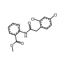 COC(=O)c1cccnc1NC(=O)Cc1ccc(Cl)cc1Cl